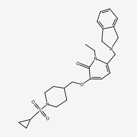 CCn1c(CN2Cc3ccccc3C2)ccc(OCC2CCN(S(=O)(=O)C3CC3)CC2)c1=O